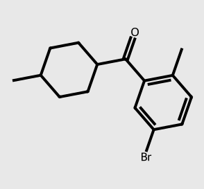 Cc1ccc(Br)cc1C(=O)C1CCC(C)CC1